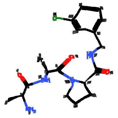 CC(C)[C@H](NC(=O)[C@H](C)N)C(=O)N1CCC[C@H]1C(=O)NCc1cccc(Cl)c1